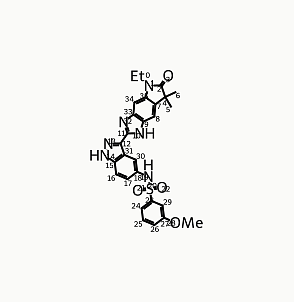 CCN1C(=O)C(C)(C)c2cc3[nH]c(-c4n[nH]c5ccc(NS(=O)(=O)c6cccc(OC)c6)cc45)nc3cc21